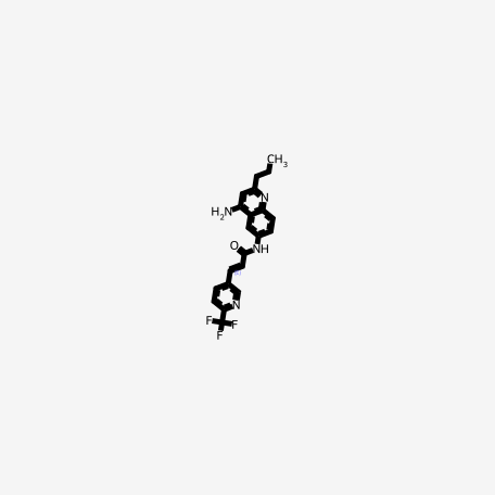 CCCc1cc(N)c2cc(NC(=O)/C=C/c3ccc(C(F)(F)F)nc3)ccc2n1